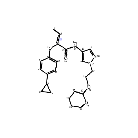 C/C=C(\Oc1ccc(C2CC2)cc1)C(=O)Nc1cnn(CCOC2CCCCO2)c1